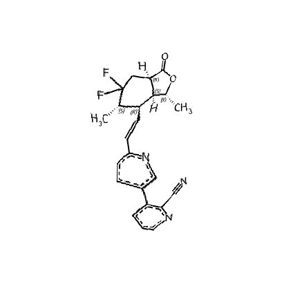 C[C@H]1OC(=O)[C@@H]2CC(F)(F)[C@@H](C)[C@H](C=Cc3ccc(-c4cccnc4C#N)cn3)[C@H]12